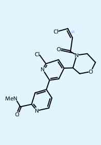 CNC(=O)c1cc(-c2cc(C3COCCN3C(=O)/C=C\Cl)cc(Cl)n2)ccn1